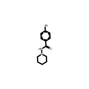 CC(C)c1ccc(C(=O)NN2CCCCC2)cc1